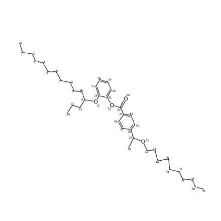 CCCCCCCCCCCC(CCC)Oc1ccccc1OC(=O)c1ccc(C(C)OCCCCCCCCCC)cc1